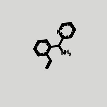 C=Cc1ccccc1C(N)c1ccccn1